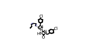 C=C/C=C\C=C\[C@H]1CN(c2nn(Cc3ccc(Cl)cc3)c(=O)[nH]2)N=C1c1ccc(Cl)cc1